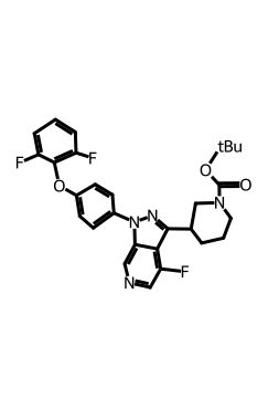 CC(C)(C)OC(=O)N1CCCC(c2nn(-c3ccc(Oc4c(F)cccc4F)cc3)c3cncc(F)c23)C1